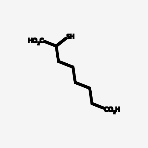 O=C(O)CCCCCC(S)C(=O)O